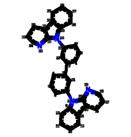 c1cc(-c2cccc(-n3c4ccccc4c4cccnc43)c2)cc(-n2c3ccccc3c3cccnc32)c1